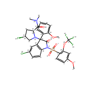 COc1ccc(S(=O)(=O)N2C(=O)C(c3ccccc3OC)(N3C[C@@H](F)C[C@H]3C(=O)N(C)C)c3cc(Cl)ccc32)c(OC(F)(F)F)c1